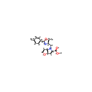 COC(=O)c1cc2occc2n1Cc1nc(-c2ccc(C)cc2)oc1C